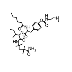 CCCCCC(=O)NC(Cc1ccc(OC(=O)NCCN(C)C)cc1)C(=O)NC(C(=O)NC(C)(C)CC(C)(C)C(N)=O)C(C)CC